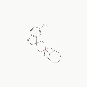 Cc1ccc2c(c1)C1(CCN(C3C4CCCCC3CCC4)CC1)CN2